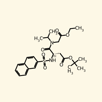 CCOC(=O)CN(C(=O)[C@H](CC(=O)OC(C)(C)C)NS(=O)(=O)c1ccc2ccccc2c1)C(C)C